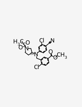 COC(=O)c1ccc(Cl)c(CN(c2ccc(C#N)c(Cl)c2)[C@H]2CCN(S(C)(=O)=O)C2)c1